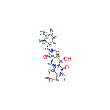 CCN1C(=O)c2c(O)c(=O)c(C(=O)NCc3ccc(F)c(Cl)c3F)cn2C2CCOCC21